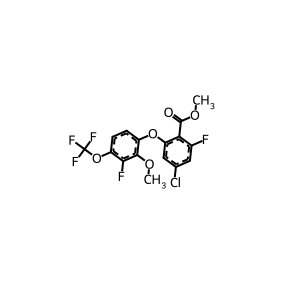 COC(=O)c1c(F)cc(Cl)cc1Oc1ccc(OC(F)(F)F)c(F)c1OC